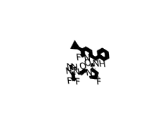 O=C(N[C@@H](c1ccccc1)c1ccc(C2CC2)c(F)n1)[C@@H]1C[C@@H](F)CN1C(=O)Cn1nnnc1C(F)F